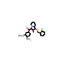 COc1cc(C(=O)c2c(C)c(OCc3ccccc3Cl)c3ccccn23)ccc1[N+](=O)[O-]